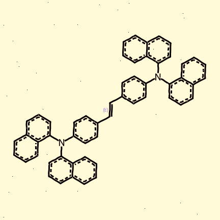 C(=C\c1ccc(N(c2cccc3ccccc23)c2cccc3ccccc23)cc1)/c1ccc(N(c2cccc3ccccc23)c2cccc3ccccc23)cc1